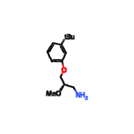 CO[C@H](CN)COc1cccc(C(C)(C)C)c1